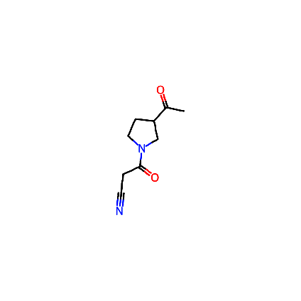 CC(=O)C1CCN(C(=O)CC#N)C1